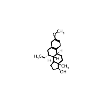 CC[C@@H]1CC2=C(CC=C(OC)C2)[C@H]2CC[C@]3(C)[C@@H](O)CC[C@H]3[C@H]12